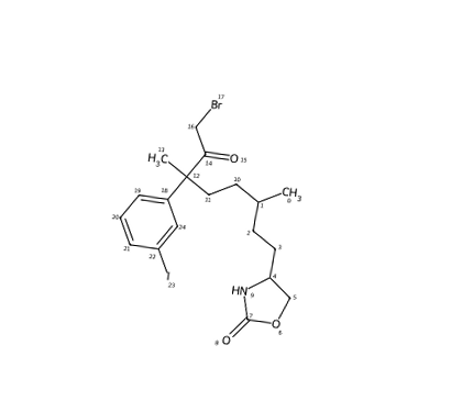 CC(CCC1COC(=O)N1)CCC(C)(C(=O)CBr)c1cccc(I)c1